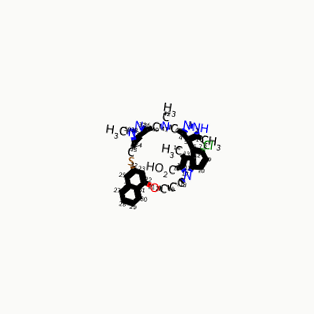 Cc1[nH]nc2c1-c1c(Cl)ccc3c1c(C)c(C(=O)O)n3CCCOc1cc(cc3ccccc13)SCc1cc(nn1C)CN(C)C2